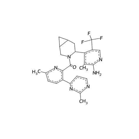 Cc1ccc(-c2ccnc(C)n2)c(C(=O)N2CC3CC3CC2c2c(C(F)(F)F)cnc(N)c2C)n1